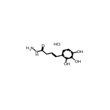 Cl.NNC(=O)CC=Cc1ccc(O)c(O)c1O